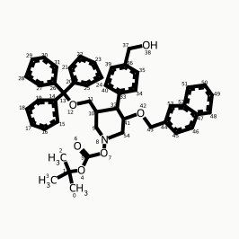 CC(C)(C)OC(=O)ON1CC(COC(c2ccccc2)(c2ccccc2)c2ccccc2)C(c2ccc(CO)cc2)C(OCc2ccc3ccccc3c2)C1